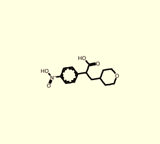 O=C(O)C(CC1CCOCC1)c1ccc([N+](=O)O)cc1